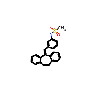 CS(=O)(=O)Nc1cccc(C=C2c3ccccc3C=Cc3ccccc32)c1